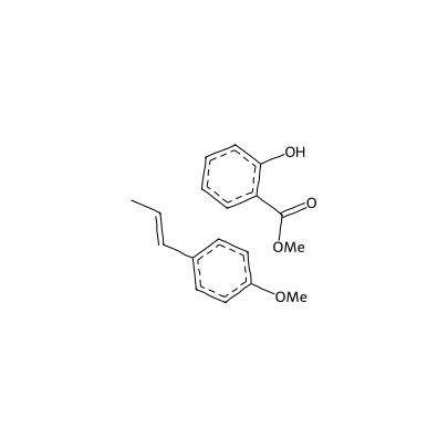 C/C=C/c1ccc(OC)cc1.COC(=O)c1ccccc1O